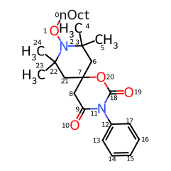 CCCCCCCCON1C(C)(C)CC2(CC(=O)N(c3ccccc3)C(=O)O2)CC1(C)C